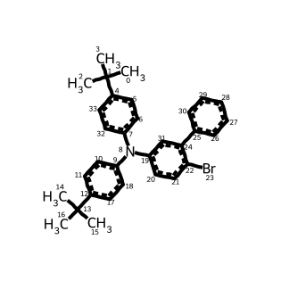 CC(C)(C)c1ccc(N(c2ccc(C(C)(C)C)cc2)c2ccc(Br)c(-c3ccccc3)c2)cc1